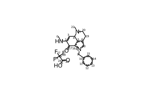 CNC1=CC2c3c(cn(Cc4ccccc4)c3C1=O)CCN2C.O=C(O)C(F)(F)F